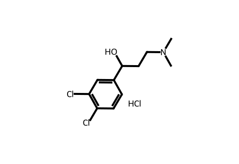 CN(C)CCC(O)c1ccc(Cl)c(Cl)c1.Cl